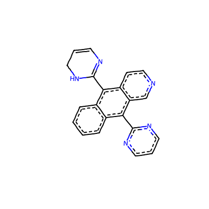 C1=CN=C(c2c3ccccc3c(-c3ncccn3)c3cnccc23)NC1